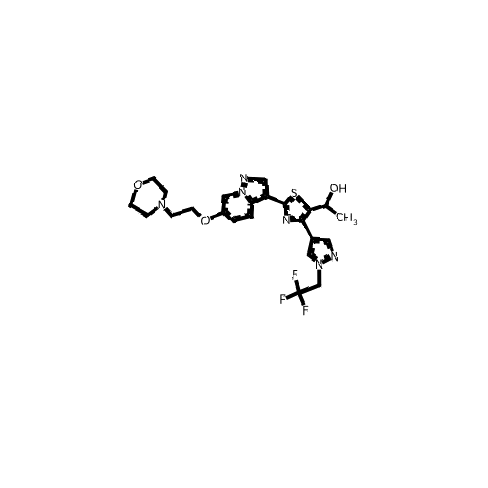 CC(O)c1sc(-c2cnn3cc(OCCN4CCOCC4)ccc23)nc1-c1cnn(CC(F)(F)F)c1